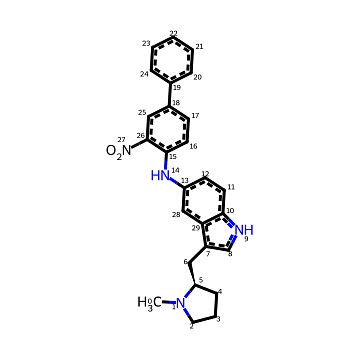 CN1CCC[C@@H]1Cc1c[nH]c2ccc(Nc3ccc(-c4ccccc4)cc3[N+](=O)[O-])cc12